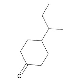 CCC(C)C1CCC(=O)CC1